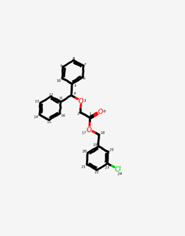 O=C(COC(c1ccccc1)c1ccccc1)OCc1cccc(Cl)c1